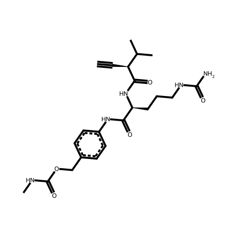 C#C[C@H](C(=O)N[C@@H](CCCNC(N)=O)C(=O)Nc1ccc(COC(=O)NC)cc1)C(C)C